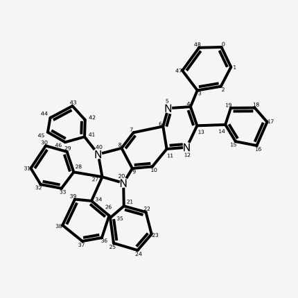 c1ccc(-c2nc3cc4c(cc3nc2-c2ccccc2)N(c2ccccc2)C(c2ccccc2)(c2ccccc2)N4c2ccccc2)cc1